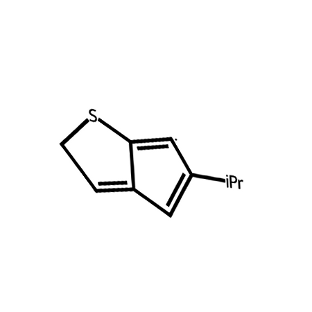 CC(C)C1=CC2=CCSC2=[C]1